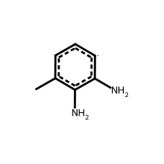 Cc1cc[c]c(N)c1N